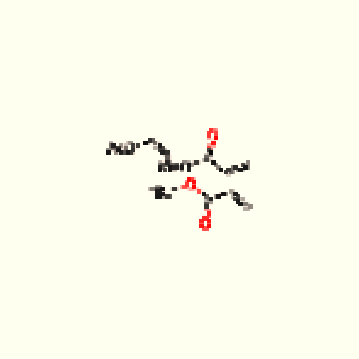 C=CC(=O)OC.C=CC(=O)OCCCC.C=COC(C)=O